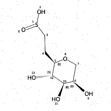 O=S(O)CC[C@H]1OC[C@@H](O)[C@@H](O)[C@@H]1O